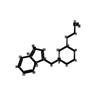 CCCC1CCCN(Cc2cnc3ccccn23)C1